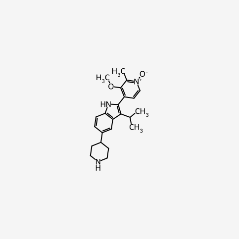 COc1c(-c2[nH]c3ccc(C4CCNCC4)cc3c2C(C)C)cc[n+]([O-])c1C